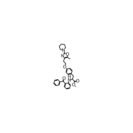 COC(=O)C(Cc1ccc(OCCc2nc(N3CCCCC3)oc2C)cc1)Nc1ccccc1C(=O)c1ccccc1